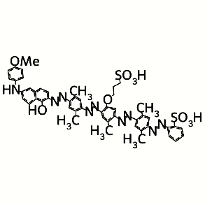 COc1ccc(Nc2ccc3c(O)c(N=Nc4cc(C)c(N=Nc5cc(C)c(N=Nc6cc(C)c(N=Nc7ccccc7S(=O)(=O)O)cc6C)cc5OCCCS(=O)(=O)O)cc4C)ccc3c2)cc1